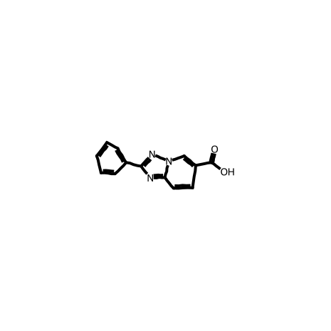 O=C(O)c1ccc2nc(-c3ccccc3)nn2c1